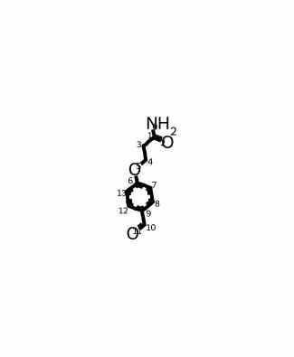 NC(=O)CCOc1ccc(C=O)cc1